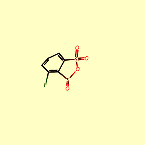 O=S1OS(=O)(=O)c2cccc(F)c21